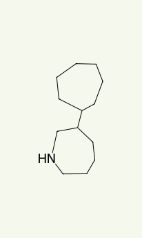 C1CCCC(C2CCCCNC2)CC1